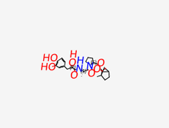 C[C@H](NC(=O)[C@H](O)Cc1ccc(O)c(O)c1)C(=O)N1CCC[C@H]1C(=O)OC1CC2CCC1(C)C2(C)C